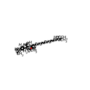 CCS(=O)(=O)Nc1ccc(-c2nn(C(C)(C)C)c(Nc3ccnc(OCCOCCOCCOCCOCC(=O)OC(C)(C)C)c3)c2C(N)=O)cc1